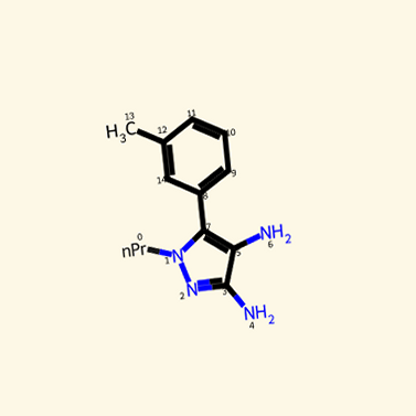 CCCn1nc(N)c(N)c1-c1cccc(C)c1